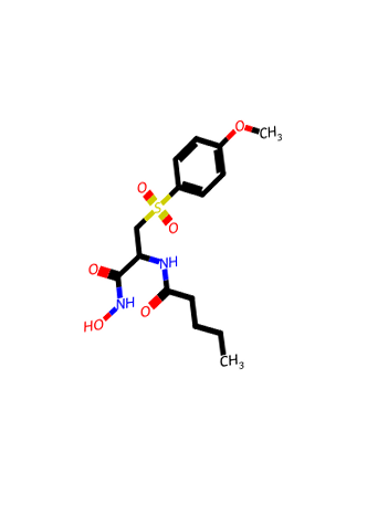 CCCCC(=O)NC(CS(=O)(=O)c1ccc(OC)cc1)C(=O)NO